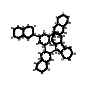 c1ccc2cc(-c3nc(-c4ccc5ccccc5c4)nc(-c4cc5ccccc5cc4-n4c5ccccc5c5ccccc54)n3)ccc2c1